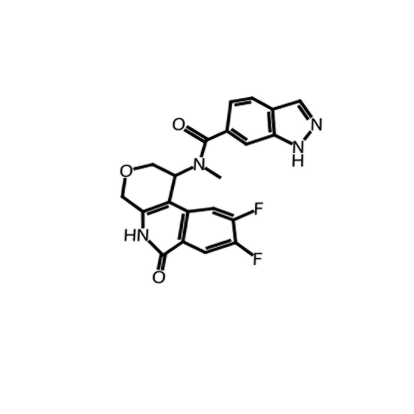 CN(C(=O)c1ccc2cn[nH]c2c1)C1COCc2[nH]c(=O)c3cc(F)c(F)cc3c21